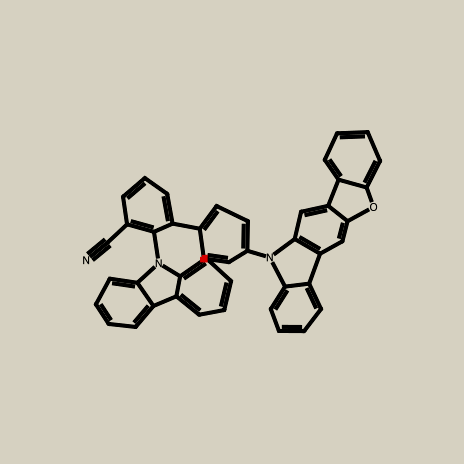 N#Cc1cccc(-c2ccc(-n3c4ccccc4c4cc5oc6ccccc6c5cc43)cc2)c1-n1c2ccccc2c2ccccc21